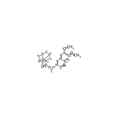 COc1cc2cc(C3CC3C(=O)C34CC5CC(CC(C5)C3)C4)cnc2cc1OC